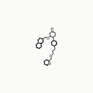 c1ccc(COCCCc2ccc(C3CCNCC3OCc3ccc4ccccc4c3)cc2)nc1